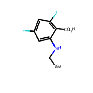 CC(C)(C)CNc1cc(F)cc(F)c1C(=O)O